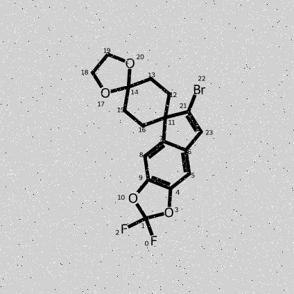 FC1(F)Oc2cc3c(cc2O1)C1(CCC2(CC1)OCCO2)C(Br)=C3